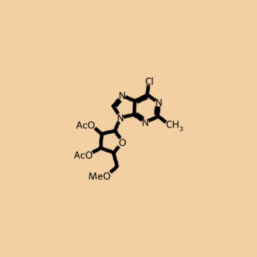 COCC1OC(n2cnc3c(Cl)nc(C)nc32)C(OC(C)=O)C1OC(C)=O